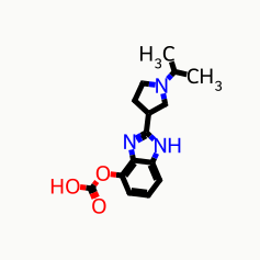 CC(C)N1CCC(c2nc3c(OC(=O)O)cccc3[nH]2)C1